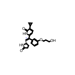 O=C1CC[C@H](/C=C(\c2cccc(OCCCO)c2)c2ccc(C3CC3)c(=O)[nH]2)N1